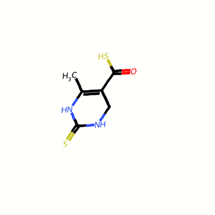 CC1=C(C(=O)S)CNC(=S)N1